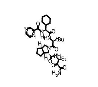 CCC(NC(=O)[C@@H]1[C@H]2CCC[C@H]2CN1C(=O)[C@@H](NC(=O)[C@@H](NC(=O)c1cnccn1)C1CCCCC1)C(C)(C)C)C(=O)C(N)=O